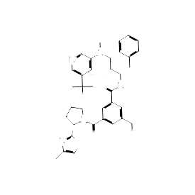 Cc1coc([C@H]2CCCN2C(=O)c2cc(CF)cc(C(=O)N[C@@H](Cc3ccccc3)[C@H](O)CN(C)c3cncc(C(C)(C)F)c3)c2)n1